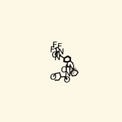 O=C(N[C@@H]1CCCC[C@H]1N1Cc2ccc(-c3noc(C(F)(F)F)n3)cc2C1=O)C1CCOCC1